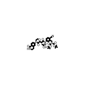 CC(C)(C)OC(=O)N(Cc1cc(NC(=O)[C@H](CC(=O)O)[C@H]2OCCN(c3ccc4c(c3)CCNC4=O)C2=O)ccc1C#N)C(=O)OC(C)(C)C